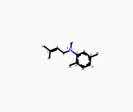 CC(C)=CCN(C)c1cc(C)ccc1C